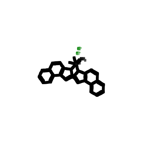 CC1=Cc2c(ccc3ccccc23)[CH]1[Zr+2]([CH3])([CH3])(=[SiH2])[CH]1C(C)=Cc2c1ccc1ccccc21.[Cl-].[Cl-]